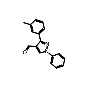 Cc1cccc(-c2nn(-c3ccccc3)cc2C=O)c1